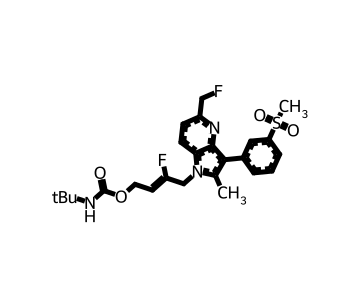 Cc1c(-c2cccc(S(C)(=O)=O)c2)c2nc(CF)ccc2n1C/C(F)=C/COC(=O)NC(C)(C)C